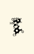 O=Cc1cc(Cl)ccc1Cn1c(=S)[nH]c(=O)c2[nH]ccc21